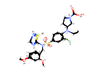 CCN(c1ccc(S(=O)(=O)N(Cc2ccc(OC)cc2OC)c2ncns2)cc1Cl)C1CCN(C(=O)O)C1